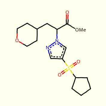 COC(=O)C(CC1CCOCC1)n1cc(S(=O)(=O)C2CCCC2)cn1